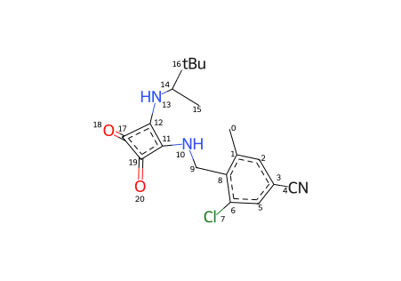 Cc1cc(C#N)cc(Cl)c1CNc1c(NC(C)C(C)(C)C)c(=O)c1=O